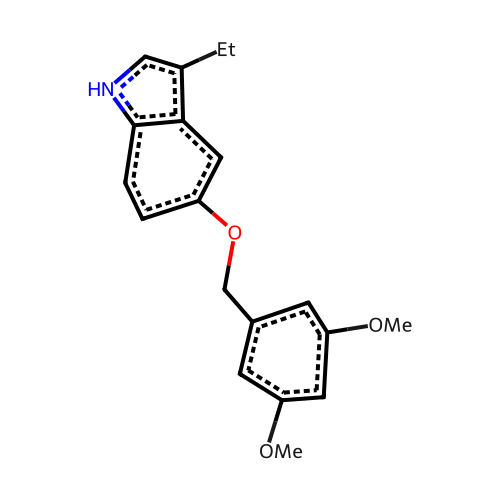 CCc1c[nH]c2ccc(OCc3cc(OC)cc(OC)c3)cc12